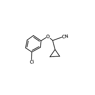 N#CC(Oc1cccc(Cl)c1)C1CC1